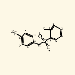 Cc1ccccc1S(=O)(=O)Cc1ccc(F)cc1